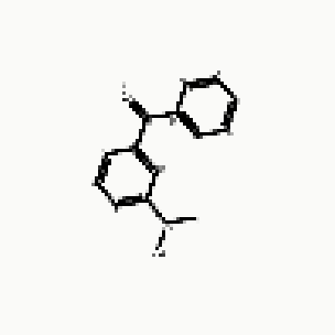 CC(=O)[C@H](C)c1cccc(C(=O)c2ccccc2)c1